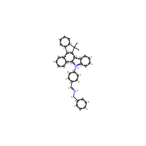 CC1(C)c2ccccc2-c2c1c1c3ccccc3n(-c3ccc(/C=N/Cc4ccccc4)cc3)c1c1ccccc21